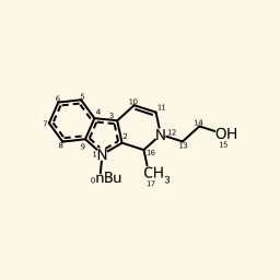 CCCCn1c2c(c3ccccc31)C=CN(CCO)C2C